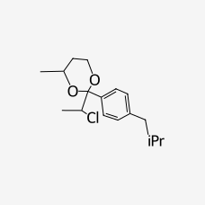 CC(C)Cc1ccc(C2(C(C)Cl)OCCC(C)O2)cc1